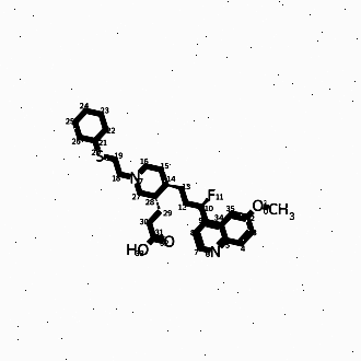 COc1ccc2nccc([C@H](F)CC[C@@H]3CCN(CCSC4CCCCC4)C[C@H]3CCC(=O)O)c2c1